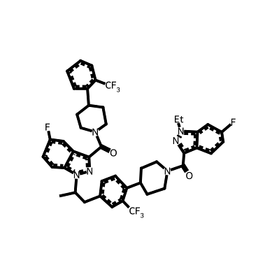 CCn1nc(C(=O)N2CCC(c3ccc(CC(C)n4nc(C(=O)N5CCC(c6ccccc6C(F)(F)F)CC5)c5cc(F)ccc54)cc3C(F)(F)F)CC2)c2ccc(F)cc21